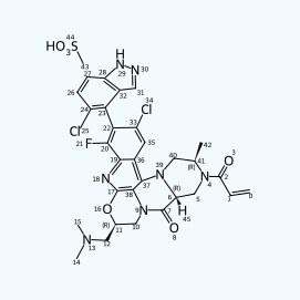 C=CC(=O)N1C[C@@H]2C(=O)N3C[C@@H](CN(C)C)Oc4nc5c(F)c(-c6c(Cl)ccc7[nH]ncc67)c(Cl)cc5c(c43)N2C[C@H]1C.CS(=O)(=O)O